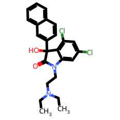 CCN(CC)CCN1C(=O)C(O)(c2ccc3ccccc3c2)c2c(Cl)cc(Cl)cc21